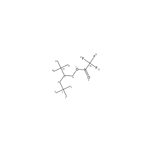 CC(C)(C)CC(COC(=O)C(F)(F)F)C(C)(C)C